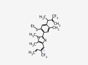 C=C/C(=C\c1nc(-c2cc(C)c(C(C)C(=C)C(F)(F)F)cc2SCC)n(C)c1C)C(F)(F)F